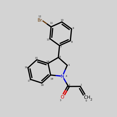 C=CC(=O)N1CC(c2cccc(Br)c2)c2ccccc21